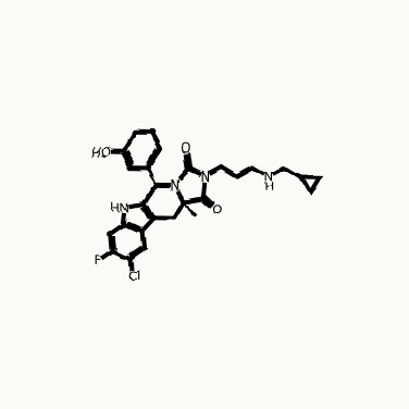 C[C@@]12Cc3c([nH]c4cc(F)c(Cl)cc34)[C@@H](C3=CCCC(O)=C3)N1C(=O)N(CCCNCC1CC1)C2=O